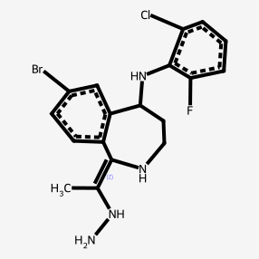 C/C(NN)=C1/NCCC(Nc2c(F)cccc2Cl)c2cc(Br)ccc21